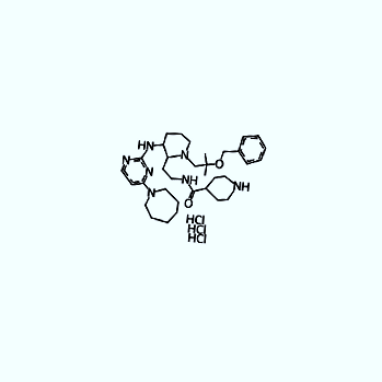 CC(C)(CN1CCCC(Nc2nccc(N3CCCCCC3)n2)C1CCNC(=O)C1CCNCC1)OCc1ccccc1.Cl.Cl.Cl